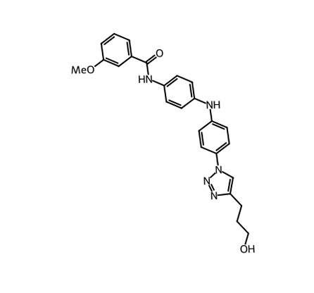 COc1cccc(C(=O)Nc2ccc(Nc3ccc(-n4cc(CCCO)nn4)cc3)cc2)c1